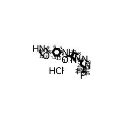 Cl.O=C(Nc1ccc([C@H]2CNCCO2)cc1)c1ccn(-c2cc(C(F)(F)F)ncn2)n1